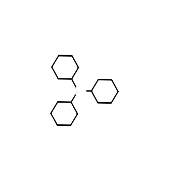 C1CC[CH]([Ge+]([CH]2CCCCC2)[CH]2CCCCC2)CC1.[Cl-]